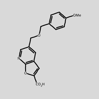 COc1ccc(COCc2cnc3oc(C(=O)O)cc3c2)cc1